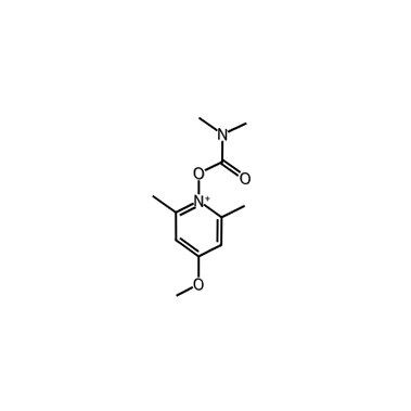 COc1cc(C)[n+](OC(=O)N(C)C)c(C)c1